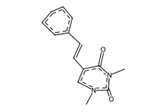 Cn1cc(/C=C/c2ccccc2)c(=O)n(C)c1=O